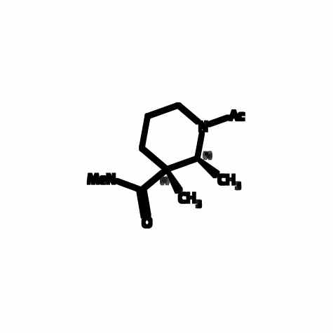 CNC(=O)[C@]1(C)CCCN(C(C)=O)[C@H]1C